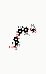 Cc1cc(OCC2(C)COC2)cc(C)c1-c1cccc(COc2ccc3c(c2)C[C@H]2[C@H](C(=O)O)[C@@H]32)c1